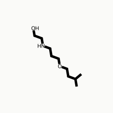 CC(C)CCOCCCNCCO